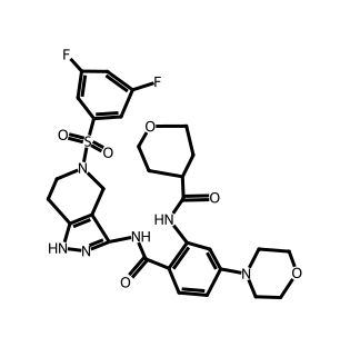 O=C(Nc1n[nH]c2c1CN(S(=O)(=O)c1cc(F)cc(F)c1)CC2)c1ccc(N2CCOCC2)cc1NC(=O)C1CCOCC1